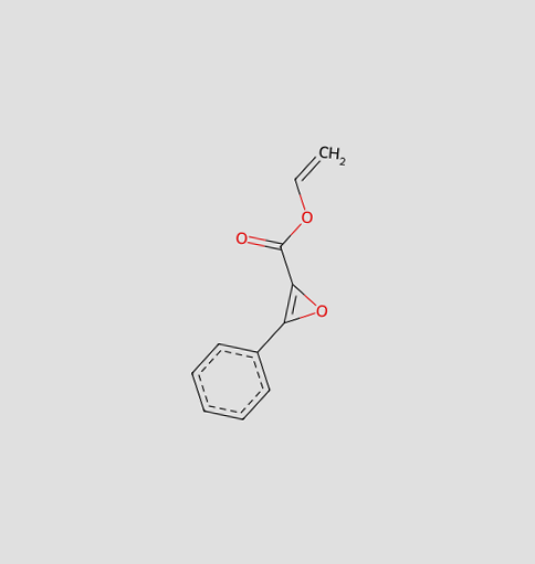 C=COC(=O)C1=C(c2ccccc2)O1